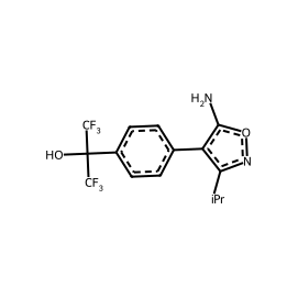 CC(C)c1noc(N)c1-c1ccc(C(O)(C(F)(F)F)C(F)(F)F)cc1